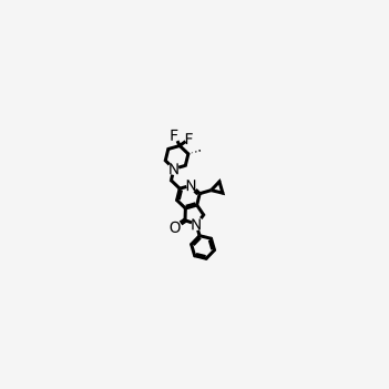 C[C@@H]1CN(Cc2cc3c(c(C4CC4)n2)CN(c2ccccc2)C3=O)CCC1(F)F